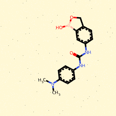 CN(C)c1ccc(NC(=O)Nc2ccc3c(c2)B(O)OC3)cc1